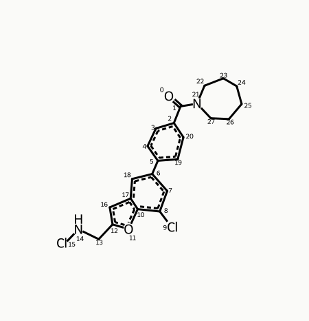 O=C(c1ccc(-c2cc(Cl)c3oc(CNCl)cc3c2)cc1)N1CCCCCC1